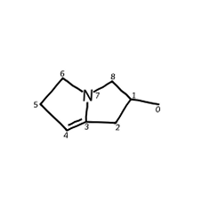 CC1CC2=CCCN2C1